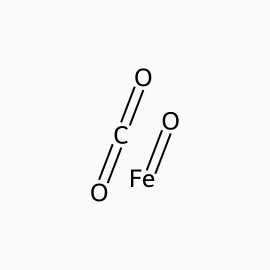 O=C=O.[O]=[Fe]